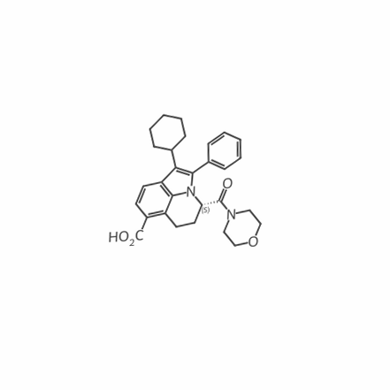 O=C(O)c1ccc2c(C3CCCCC3)c(-c3ccccc3)n3c2c1CC[C@H]3C(=O)N1CCOCC1